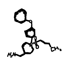 CCCCS(=O)(=O)[N+]1(c2ccc(Oc3ccccc3)cc2)C=CC(CN)=CC1